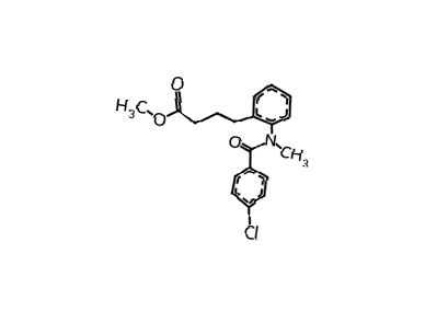 COC(=O)CCCc1ccccc1N(C)C(=O)c1ccc(Cl)cc1